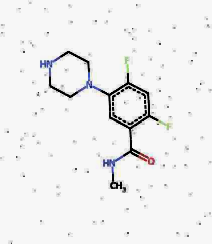 CNC(=O)c1cc(N2CCNCC2)c(F)cc1F